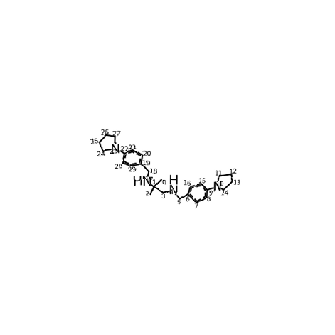 CC(C)(CNCc1ccc(N2CCCC2)cc1)NCc1ccc(N2CCCC2)cc1